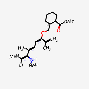 C=C(C)\C(=C/C=C(C)/C(NNC)=C(/CC)NC)OC[C@H]1CCCCC1C(=O)OC